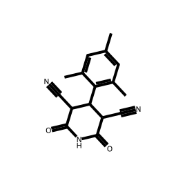 Cc1cc(C)c(C2C(C#N)C(=O)NC(=O)C2C#N)c(C)c1